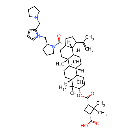 C=C(C)[C@@H]1CC[C@]2(C(=O)N3CCC[C@H]3Cn3cccc3CN3CCCC3)CC[C@]3(C)[C@H](CC[C@@H]4[C@@]5(C)CC[C@H](OC(=O)[C@H]6C[C@@H](C(=O)O)C6(C)C)C(C)(C)[C@@H]5CC[C@]43C)[C@@H]12